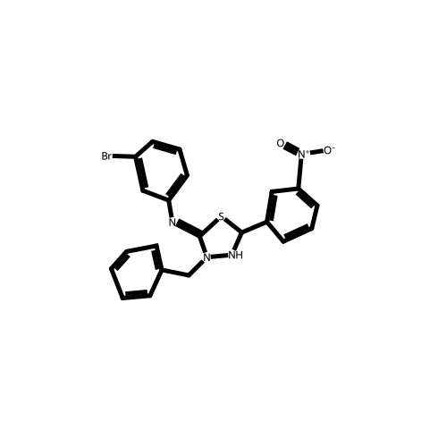 O=[N+]([O-])c1cccc(C2NN(Cc3ccccc3)C(=Nc3cccc(Br)c3)S2)c1